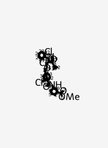 COC(=O)c1cccc(NC(=O)C23CCC(COCc4c(-c5c(Cl)cccc5Cl)noc4C4CC4)(CC2)CC3Cl)c1